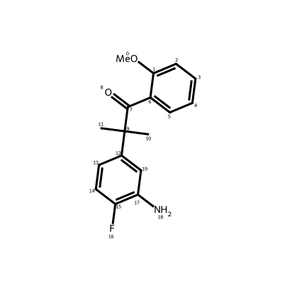 COc1ccccc1C(=O)C(C)(C)c1ccc(F)c(N)c1